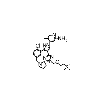 Cc1cnc(N)cc1-n1cc(-c2ncn(COCC[Si](C)(C)C)n2)c(-c2cc(CN3CCCC3)ccc2Cl)n1